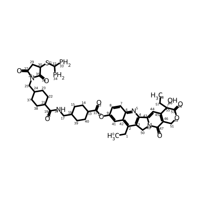 CCc1c2c(nc3ccc(OC(=O)C4CCC(CNC(=O)C5CCC(CN6C(=O)CC(SC(P)P)C6=O)CC5)CC4)cc13)-c1cc3c(c(=O)n1C2)COC(=O)[C@]3(O)CC